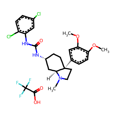 COc1ccc([C@@]23CC[C@@H](NC(=O)Nc4cc(Cl)ccc4Cl)C[C@@H]2N(C)CC3)cc1OC.O=C(O)C(F)(F)F